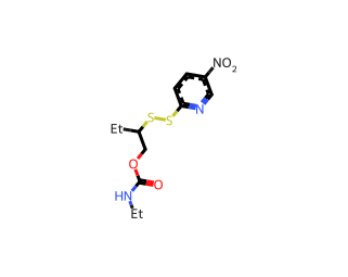 CCNC(=O)OCC(CC)SSc1ccc([N+](=O)[O-])cn1